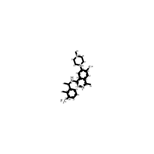 Cc1c(C(C)Nc2nnc(C)c3cc(F)c(N4CCN(C)CC4)cc23)cccc1C(F)(F)F